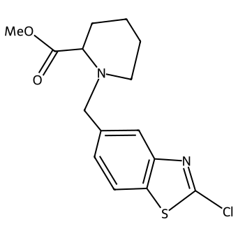 COC(=O)C1CCCCN1Cc1ccc2sc(Cl)nc2c1